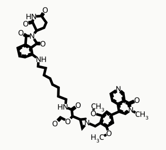 COc1cc(-c2cn(C)c(=O)c3cnccc23)cc(OC)c1CN1CC(C(OC=O)C(=O)NCCCCCCCCNc2cccc3c2C(=O)N(C2CCC(=O)NC2=O)C3=O)C1